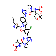 CCCc1ncc(C2Oc3cc(-c4cnc([C@@H]5CCCN5C(=O)C(NC(=O)OC)C(C)C)[nH]4)cc(F)c3-c3cc4cc(-c5cnc([C@@H]6CCCN6C(=O)C(NC(=O)OC)C6CCOC(C)(C)C6)[nH]5)ccc4n32)s1